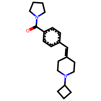 O=C(c1ccc(C=C2CCN(C3CCC3)CC2)cc1)N1CCCC1